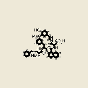 CNC(COCc1ccccc1)C(=O)NC(COc1ccc2ccccc2c1C(=O)NC(CC(=O)O)C(=O)NCCc1cccc(OC)c1)Cc1ccccc1.Cl